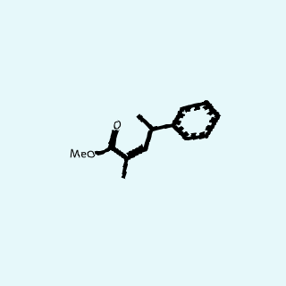 COC(=O)C(C)=CC(C)c1ccccc1